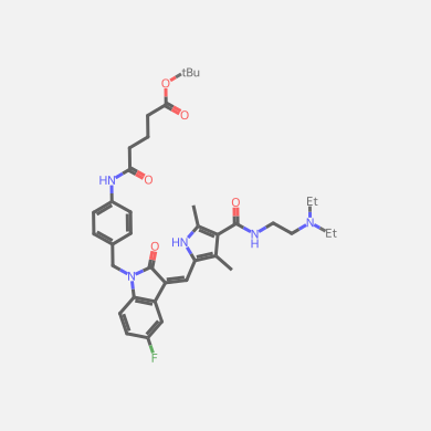 CCN(CC)CCNC(=O)c1c(C)[nH]c(/C=C2\C(=O)N(Cc3ccc(NC(=O)CCCC(=O)OC(C)(C)C)cc3)c3ccc(F)cc32)c1C